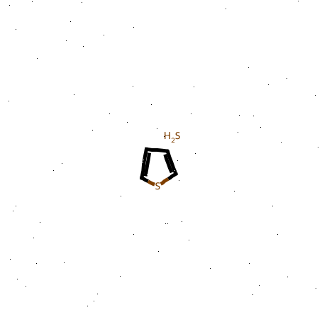 S.c1ccsc1